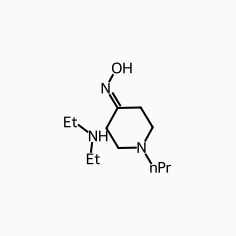 CCCN1CCC(=NO)CC1.CCNCC